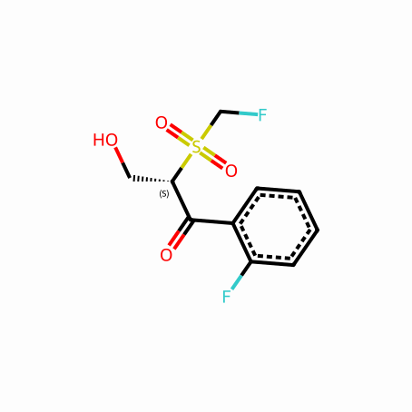 O=C(c1ccccc1F)[C@H](CO)S(=O)(=O)CF